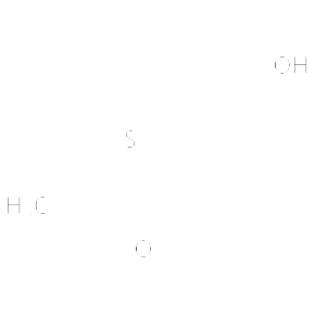 CC(=O)SCCO